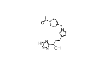 CC(=O)c1ccc(Cn2ccc(C=CC(O)c3nn[nH]n3)c2)cc1